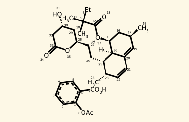 CC(=O)Oc1ccccc1C(=O)O.CCC(C)(C)C(=O)O[C@H]1C[C@@H](C)C=C2C=C[C@H](C)[C@H](CC[C@@H]3C[C@@H](O)CC(=O)O3)[C@H]21